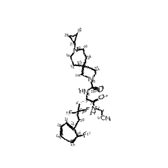 N#CCNC(=O)[C@H](CC(F)(F)Cc1ccccc1F)NC(=O)N1CC2(CCN(C3CC3)CC2)C1